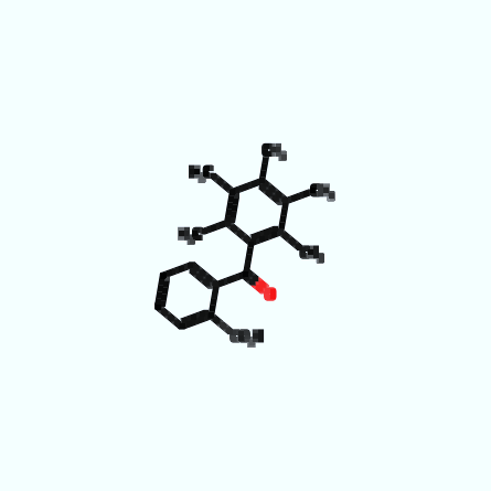 Cc1c(C)c(C)c(C(=O)c2ccccc2C(=O)O)c(C)c1C